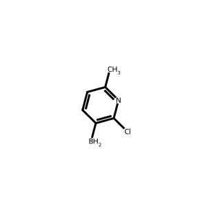 Bc1ccc(C)nc1Cl